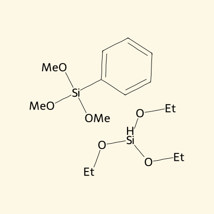 CCO[SiH](OCC)OCC.CO[Si](OC)(OC)c1ccccc1